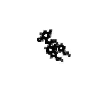 Cc1cc2c(N[C@@H]3CC[C@H](N)C3)c(/C(N)=N/c3cc(F)ccc3Cl)cnn2c1